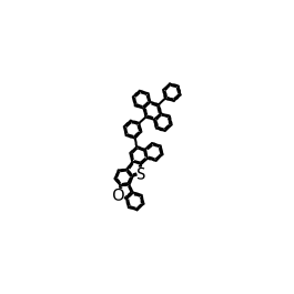 c1ccc(-c2c3ccccc3c(-c3cccc(-c4cc5c6ccc7oc8ccccc8c7c6sc5c5ccccc45)c3)c3ccccc23)cc1